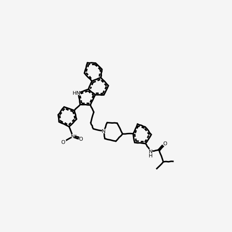 CC(C)C(=O)Nc1cccc(C2CCN(CCCc3c(-c4cccc([N+](=O)[O-])c4)[nH]c4c3ccc3ccccc34)CC2)c1